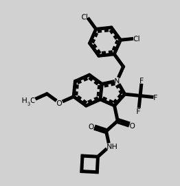 CCOc1ccc2c(c1)c(C(=O)C(=O)NC1CCC1)c(C(F)(F)F)n2Cc1ccc(Cl)cc1Cl